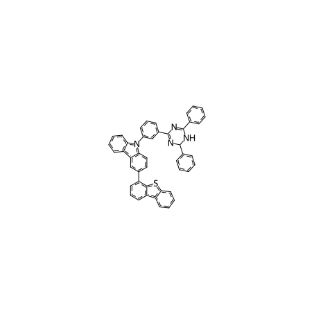 c1ccc(C2=NC(c3cccc(-n4c5ccccc5c5cc(-c6cccc7c6sc6ccccc67)ccc54)c3)=NC(c3ccccc3)N2)cc1